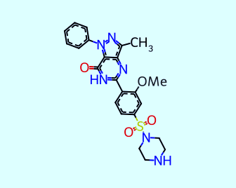 COc1cc(S(=O)(=O)N2CCNCC2)ccc1-c1nc2c(C)nn(-c3ccccc3)c2c(=O)[nH]1